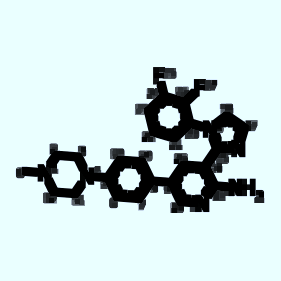 CN1CCN(c2ccc(-c3cnc(N)c(-c4nccn4-c4cccc(F)c4F)c3)cc2)CC1